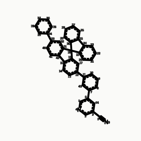 N#Cc1cncc(-c2cccc(-c3ccc4c(c3)C3(c5ccccc5-c5ccccc53)c3cc(-c5ccccc5)ccc3-4)c2)c1